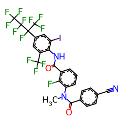 CN(C(=O)c1ccc(C#N)cc1)c1cccc(C(=O)Nc2c(I)cc(C(F)(C(F)(F)F)C(F)(F)C(F)(F)F)cc2C(F)(F)F)c1F